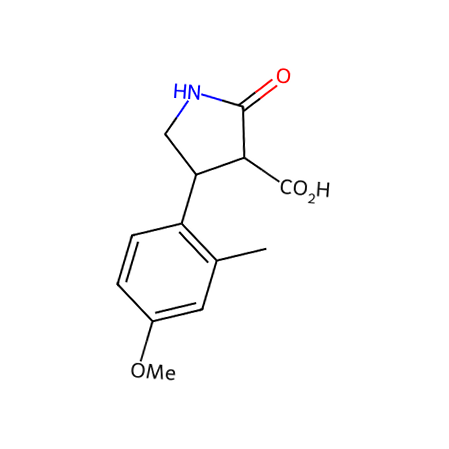 COc1ccc(C2CNC(=O)C2C(=O)O)c(C)c1